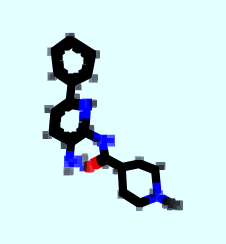 CC(=O)N1CCC(C(=O)Nc2nc(-c3ccccc3)ccc2N)CC1